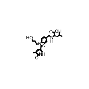 Cc1cc(-c2nc3cc(CN[C@@H](CC(C)C)C(=O)O)ccc3n2CCCO)c[nH]c1=O